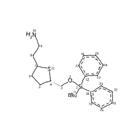 CC(C)(C)[Si](OC[C@@H]1CCC(CCN)S1)(c1ccccc1)c1ccccc1